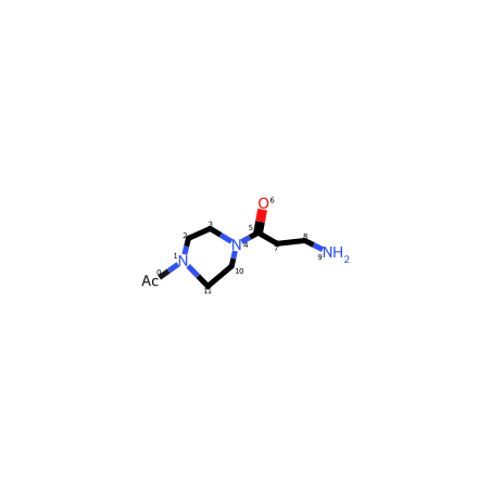 CC(=O)N1CCN(C(=O)CCN)CC1